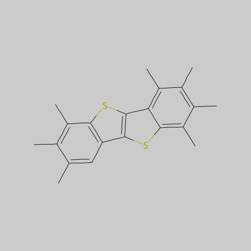 Cc1cc2c(sc3c2sc2c(C)c(C)c(C)c(C)c23)c(C)c1C